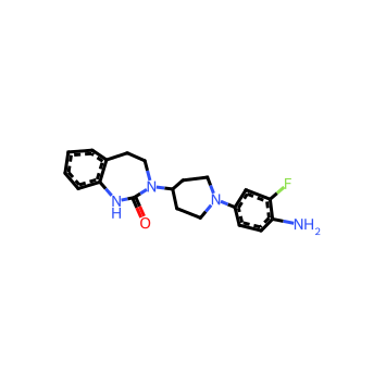 Nc1ccc(N2CCC(N3CCc4ccccc4NC3=O)CC2)cc1F